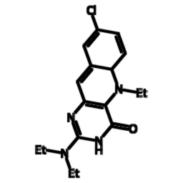 CCN(CC)c1nc2c(c(=O)[nH]1)N(CC)C1C=CC(Cl)=CC1=C2